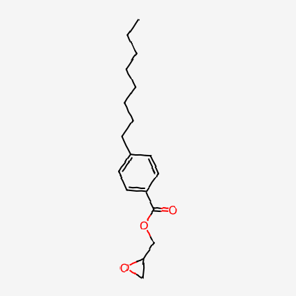 CCCCCCCCc1ccc(C(=O)OCC2CO2)cc1